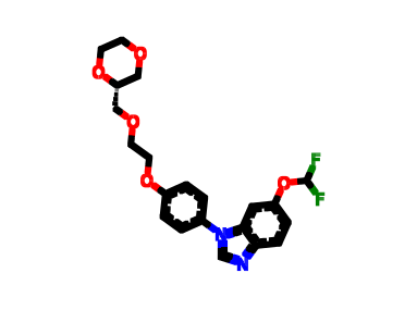 FC(F)Oc1ccc2ncn(-c3ccc(OCCOC[C@H]4COCCO4)cc3)c2c1